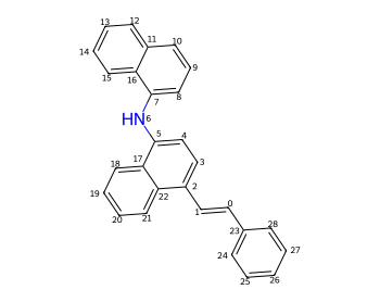 C(=C\c1ccc(Nc2cccc3ccccc23)c2ccccc12)/c1ccccc1